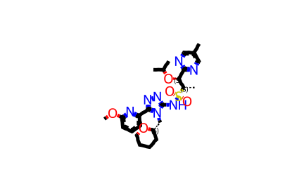 COc1cccc(-c2nnc(NS(=O)(=O)[C@@H](C)[C@@H](OC(C)C)c3ncc(C)cn3)n2C[C@@H]2CCCCO2)n1